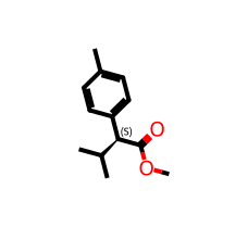 COC(=O)[C@H](c1ccc(C)cc1)C(C)C